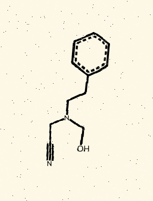 N#CCN(CO)CCc1ccccc1